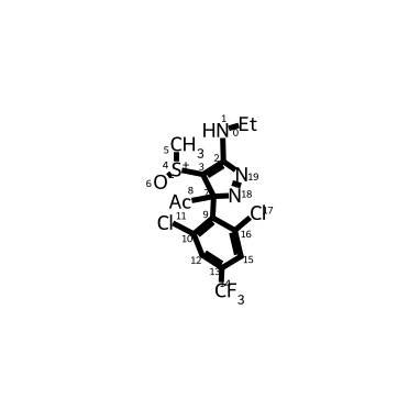 CCNC1=C([S+](C)[O-])C(C(C)=O)(c2c(Cl)cc(C(F)(F)F)cc2Cl)N=N1